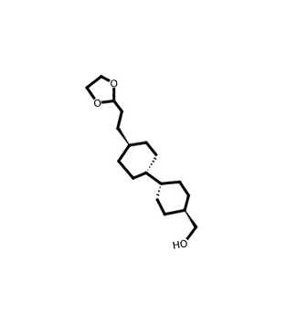 OC[C@H]1CC[C@H]([C@H]2CC[C@H](CCC3OCCO3)CC2)CC1